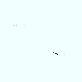 CCOC(=O)[C@H]1OC[C@H](OC(C)=O)O1